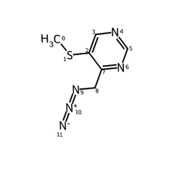 CSc1cncnc1CN=[N+]=[N-]